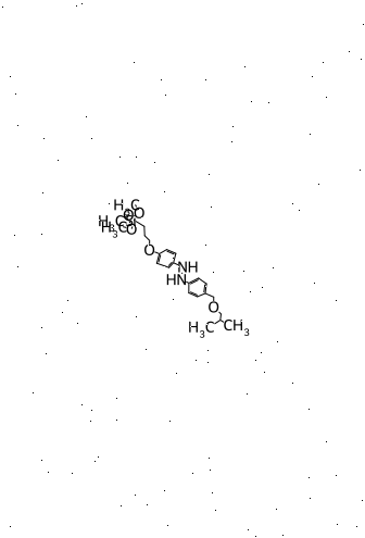 CO[Si](CCCOc1ccc(NNc2ccc(COCC(C)C)cc2)cc1)(OC)OC